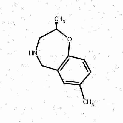 Cc1ccc2c(c1)CNC[C@@H](C)O2